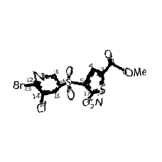 COC(=O)c1cc(S(=O)(=O)c2cnc(Br)c(Cl)c2)c([N+](=O)[O-])s1